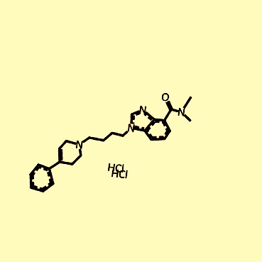 CN(C)C(=O)c1cccc2c1ncn2CCCCN1CC=C(c2ccccc2)CC1.Cl.Cl